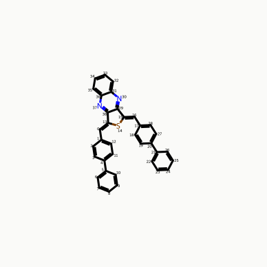 C(/c1ccc(-c2ccccc2)cc1)=c1/s/c(=C\c2ccc(-c3ccccc3)cc2)c2nc3ccccc3nc12